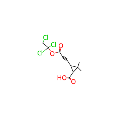 CC1(C)C(C#CC(=O)OC(Cl)(Cl)CCl)C1C(=O)O